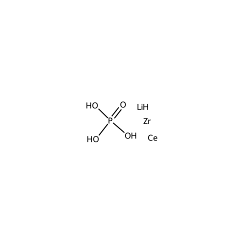 O=P(O)(O)O.[Ce].[LiH].[Zr]